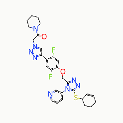 O=C(Cn1cc(-c2cc(F)c(OCc3nnc(SC4C=CCCC4)n3-c3cccnc3)cc2F)nn1)N1CCCCC1